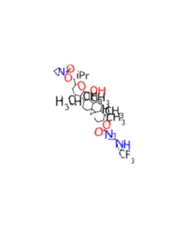 CC(C)[C@@H](OC(=O)N1CCC1)C1C[C@@H](C)[C@H]2C(O1)[C@H](O)[C@@]1(C)C3CC[C@H]4C(C)(C)C(OC(=O)N5CC(NCC(F)(F)F)C5)CC[C@@]45C[C@@]35CC[C@]21C